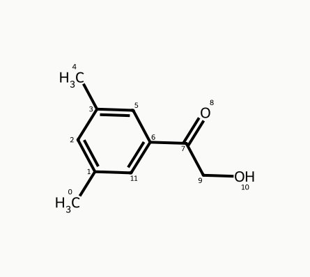 Cc1cc(C)cc(C(=O)CO)c1